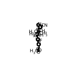 CC1(C)C(NC(=O)c2ccc(N3CCC(COS(C)(=O)=O)CC3)c(F)c2)C(C)(C)C1Oc1ccc(C#N)c2ncccc12